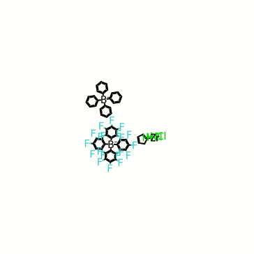 Cl.Cl.Cl.Fc1c(F)c(F)c([B-](c2c(F)c(F)c(F)c(F)c2F)(c2c(F)c(F)c(F)c(F)c2F)c2c(F)c(F)c(F)c(F)c2F)c(F)c1F.[Zr][C]1=CC=CC1.c1ccc([B-](c2ccccc2)(c2ccccc2)c2ccccc2)cc1